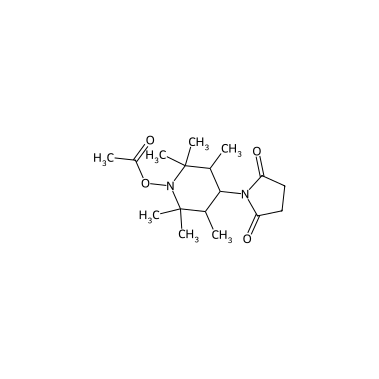 CC(=O)ON1C(C)(C)C(C)C(N2C(=O)CCC2=O)C(C)C1(C)C